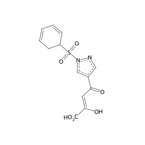 O=C(O)C(O)=CC(=O)c1cnn(S(=O)(=O)C2C=CC=CC2)c1